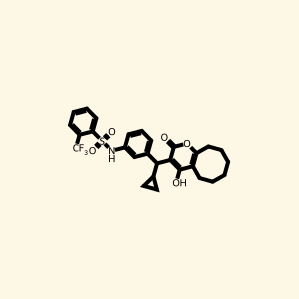 O=c1oc2c(c(O)c1C(c1cccc(NS(=O)(=O)c3ccccc3C(F)(F)F)c1)C1CC1)CCCCCC2